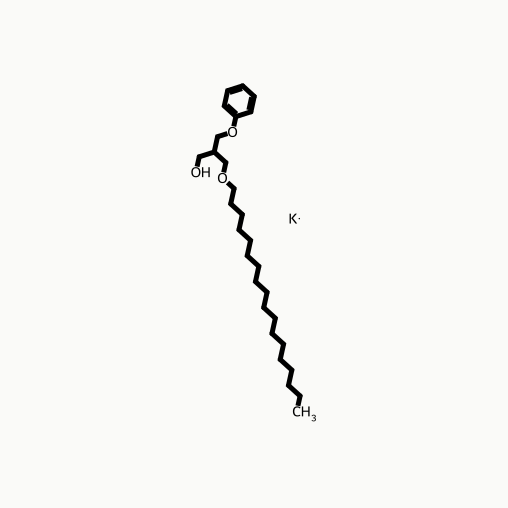 CCCCCCCCCCCCCCCCCCOCC(CO)COc1ccccc1.[K]